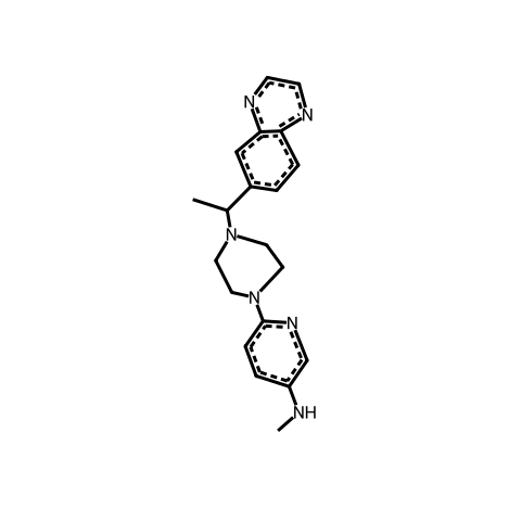 CNc1ccc(N2CCN(C(C)c3ccc4nccnc4c3)CC2)nc1